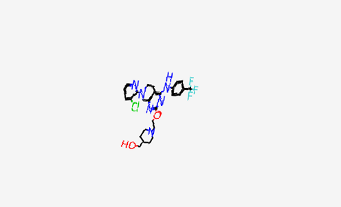 OCC1CCN(CCOc2nc3c(c(Nc4ccc(C(F)(F)F)cc4)n2)CCN(c2ncccc2Cl)C3)CC1